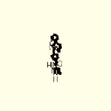 Cc1cc(NC(=O)c2ccc(CN3C(C)CCC(c4ccccc4)S3(=O)=O)cc2)n[nH]1